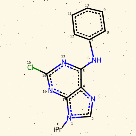 CC(C)n1cnc2c(Nc3ccccc3)nc(Cl)nc21